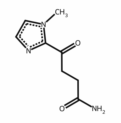 Cn1ccnc1C(=O)CCC(N)=O